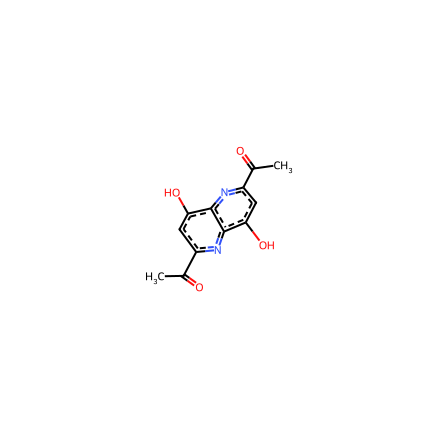 CC(=O)c1cc(O)c2nc(C(C)=O)cc(O)c2n1